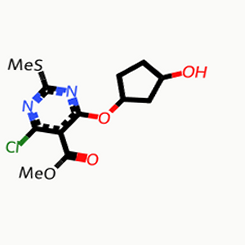 COC(=O)c1c(Cl)nc(SC)nc1OC1CCC(O)C1